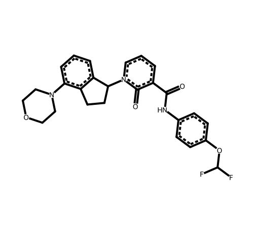 O=C(Nc1ccc(OC(F)F)cc1)c1cccn(C2CCc3c2cccc3N2CCOCC2)c1=O